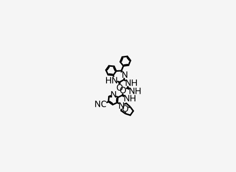 N#Cc1cnc(C(=N)OC(=N)NC2N=C(c3ccccc3)c3ccccc3NC2=O)c(N2CC3CCC(C2)O3)c1